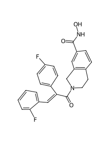 O=C(NO)c1ccc2c(c1)CN(C(=O)C(=Cc1ccccc1F)c1ccc(F)cc1)CC2